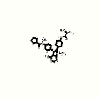 C=C(C)C(=O)Nc1ccc(-c2c(-c3ccc(N(C)C(=O)C4CCCC4)cc3)c3c(N)ncnc3n2C)cc1